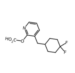 O=C(O)Oc1ncccc1CC1CCC(F)(F)CC1